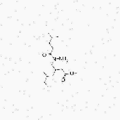 CCC(C)CC(CC(=O)O)CN(N)C(=O)CCC(C)C